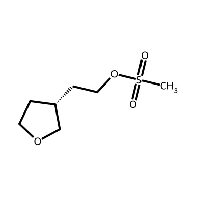 CS(=O)(=O)OCC[C@H]1CCOC1